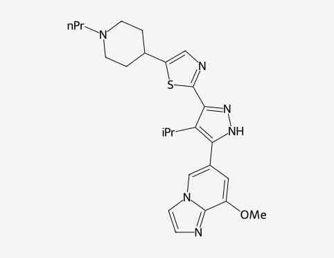 CCCN1CCC(c2cnc(-c3n[nH]c(-c4cc(OC)c5nccn5c4)c3C(C)C)s2)CC1